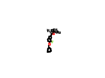 CC(C)(C)[Si](C)(C)OCC1Cc2ccc(OCc3ccccc3)c(F)c2C1